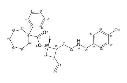 C=CC1C[C@](C)(OC(=O)C2(c3ccccc3)CCCCCC2)C1CCNCc1ccc(F)cc1